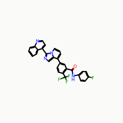 O=C(Nc1ccc(F)cc1)c1cc(-c2cccn3c(-c4ccnc5ccccc45)ncc23)ccc1C(F)(F)F